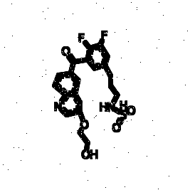 O=C(c1ccc2ncc(OCCO)cc2c1)c1cc(CCCN[SH](=O)=O)cc(F)c1F